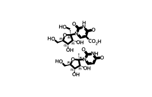 C[C@@]1(n2ccc(=O)[nH]c2=O)O[C@H](CO)[C@@H](O)[C@H]1O.O=C(O)c1cn([C@]2(CO)O[C@H](CO)[C@@H](O)[C@H]2O)c(=O)[nH]c1=O